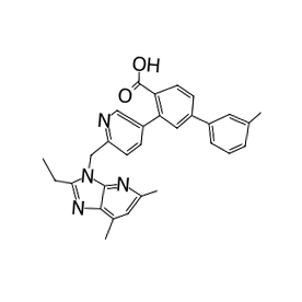 CCc1nc2c(C)cc(C)nc2n1Cc1ccc(-c2cc(-c3cccc(C)c3)ccc2C(=O)O)cn1